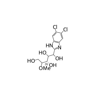 COC(CO)[C@@H](O)C(O)C(O)c1nc2cc(Cl)c(Cl)cc2[nH]1